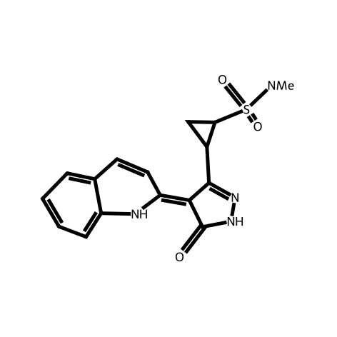 CNS(=O)(=O)C1CC1C1=NNC(=O)C1=C1C=Cc2ccccc2N1